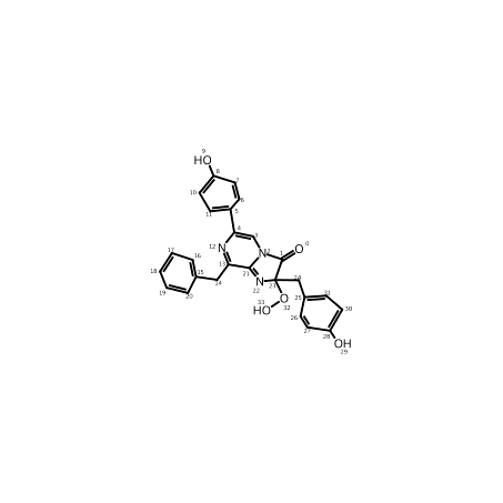 O=C1N2C=C(c3ccc(O)cc3)N=C(Cc3ccccc3)C2=NC1(Cc1ccc(O)cc1)OO